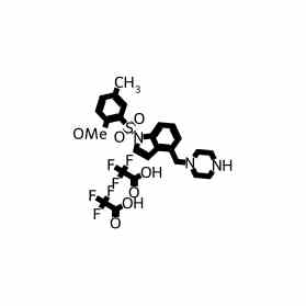 COc1ccc(C)cc1S(=O)(=O)n1ccc2c(CN3CCNCC3)cccc21.O=C(O)C(F)(F)F.O=C(O)C(F)(F)F